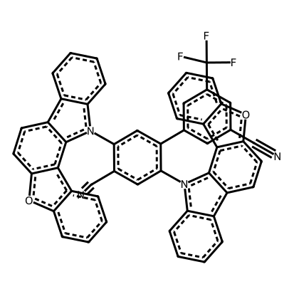 N#Cc1cc(-c2cc(-n3c4ccccc4c4ccc5oc6ccccc6c5c43)c(C#N)cc2-n2c3ccccc3c3ccc4oc5ccccc5c4c32)cc(C(F)(F)F)c1